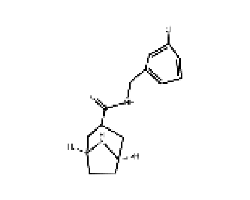 O=C(NCc1cccc(Cl)c1)C1C[C@H]2CC[C@@H](C1)N2